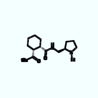 CCN1CCC[C@@H]1CNC(=O)[C@H]1CCCC[C@H]1C(=O)C(C)(C)C